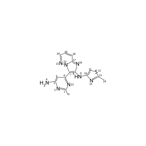 Cc1nc(N)cc(-c2c(Nc3csc(C)n3)nc3cccnn23)n1